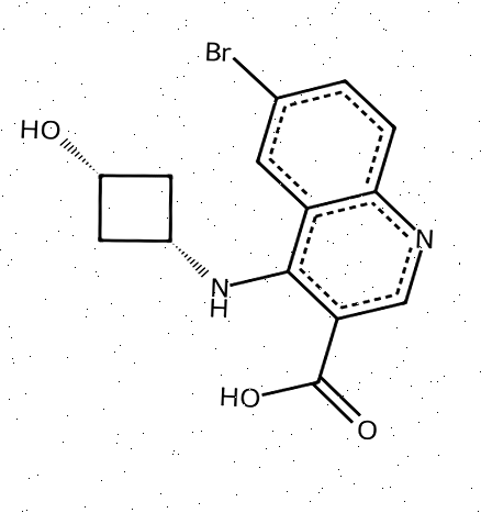 O=C(O)c1cnc2ccc(Br)cc2c1N[C@H]1C[C@@H](O)C1